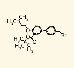 CC(C)CCOc1ccc(-c2ccc(CBr)cc2)cc1C(=O)OC(C)(C)C